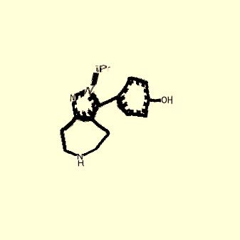 CC(C)n1nc2c(c1-c1ccc(O)cc1)CCNCC2